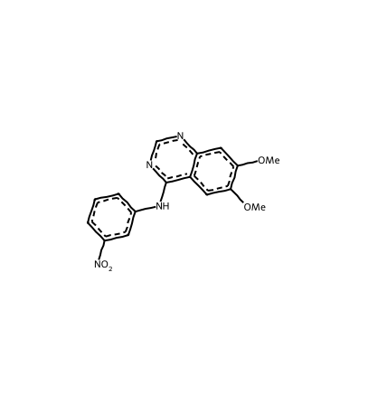 COc1cc2ncnc(Nc3cccc([N+](=O)[O-])c3)c2cc1OC